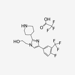 O=C(O)C(F)(F)F.OCCn1cc(-c2ccc(F)c(C(F)(F)F)c2)nc1C1CCNCC1